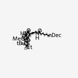 CCCCCCCCCCCCCCCC(=O)NCC#Cc1cn(C2OC(CC(C)(C)CC)C(C(C)(C)C)C2OC)c(=O)[nH]c1=O